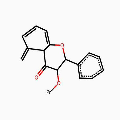 C=C1C=CC=C2OC(c3ccccc3)C(OC(C)C)C(=O)C12